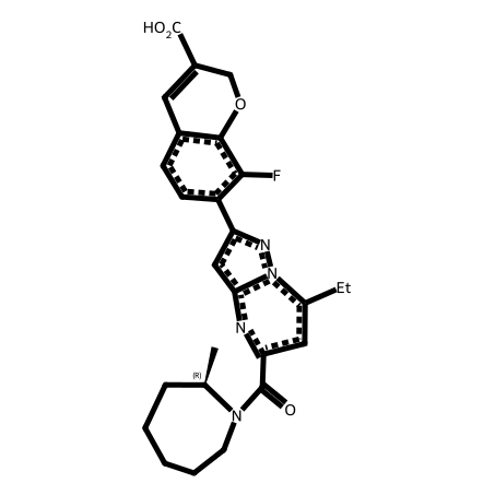 CCc1cc(C(=O)N2CCCCC[C@H]2C)nc2cc(-c3ccc4c(c3F)OCC(C(=O)O)=C4)nn12